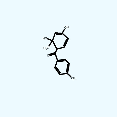 Cc1ccc(C(=O)C2C=CC(O)=CC2(C)O)cc1